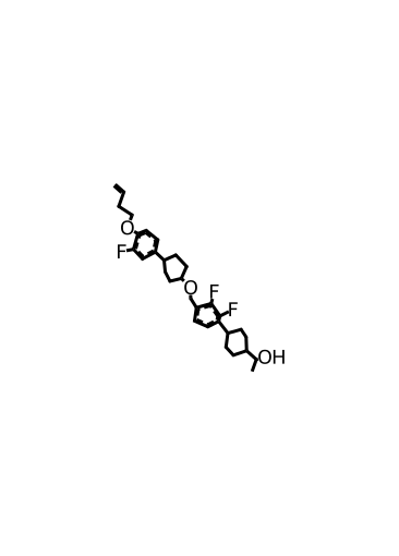 C=CCCOc1ccc(C2CCC(OCc3ccc(C4CCC(C(C)O)CC4)c(F)c3F)CC2)cc1F